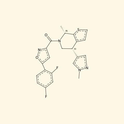 C[C@@H]1c2sccc2[C@H](c2cnn(C)c2)CN1C(=O)c1cc(-c2ccc(F)cc2F)on1